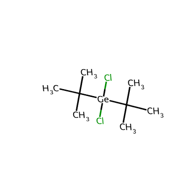 C[C](C)(C)[Ge]([Cl])([Cl])[C](C)(C)C